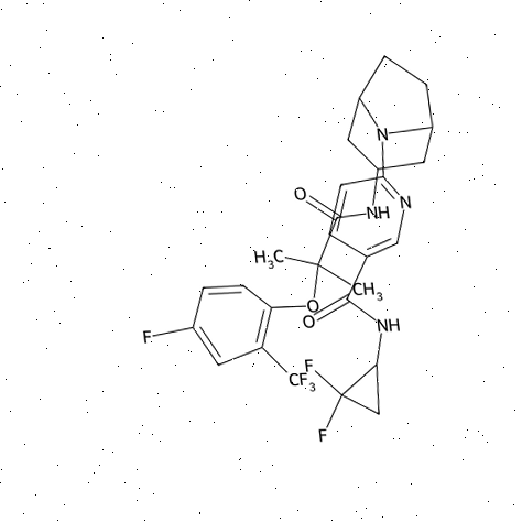 CC(C)(Oc1ccc(F)cc1C(F)(F)F)C(=O)NC1CC2CCC(C1)N2c1ccc(C(=O)NC2CC2(F)F)cn1